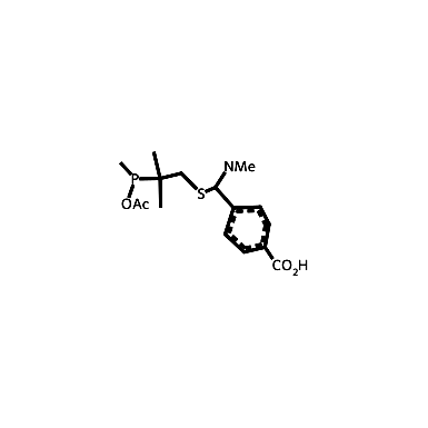 CNC(SCC(C)(C)P(C)OC(C)=O)c1ccc(C(=O)O)cc1